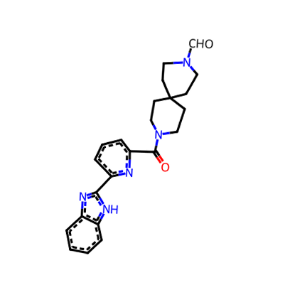 O=CN1CCC2(CC1)CCN(C(=O)c1cccc(-c3nc4ccccc4[nH]3)n1)CC2